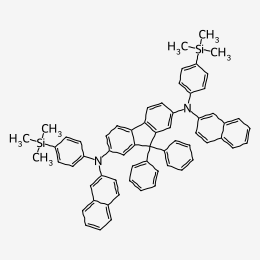 C[Si](C)(C)c1ccc(N(c2ccc3c(c2)C(c2ccccc2)(c2ccccc2)c2cc(N(c4ccc([Si](C)(C)C)cc4)c4ccc5ccccc5c4)ccc2-3)c2ccc3ccccc3c2)cc1